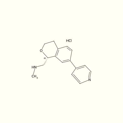 CNC[C@@H]1OCCc2ccc(-c3ccncc3)cc21.Cl